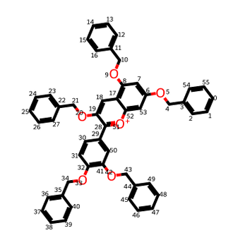 c1ccc(COc2cc(OCc3ccccc3)c3cc(OCc4ccccc4)c(-c4ccc(OCc5ccccc5)c(OCc5ccccc5)c4)[o+]c3c2)cc1